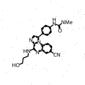 CNC(=O)Nc1ccc(-c2cnc3c(NCCCO)nc4cc(C#N)ccc4n23)cc1